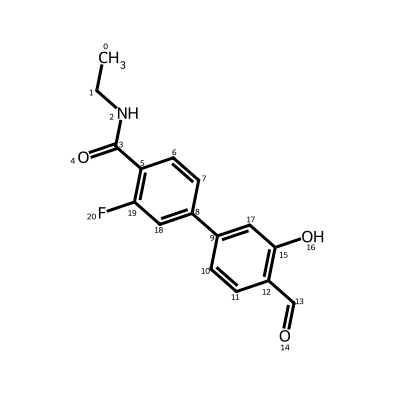 CCNC(=O)c1ccc(-c2ccc(C=O)c(O)c2)cc1F